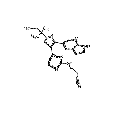 CC(C)(CO)n1cc(-c2ccnc(NCCC#N)n2)c(-c2cnc3[nH]ccc3c2)n1